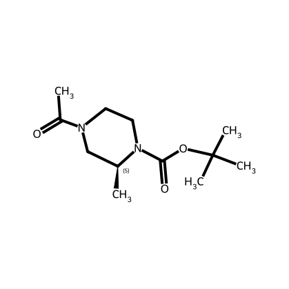 CC(=O)N1CCN(C(=O)OC(C)(C)C)[C@@H](C)C1